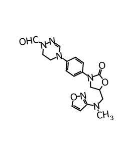 CN(CC1CN(c2ccc(N3C=NN(C=O)CC3)cc2)C(=O)O1)c1ccon1